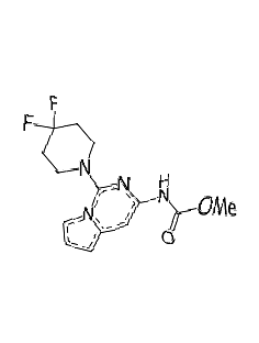 COC(=O)Nc1cc2cccn2c(N2CCC(F)(F)CC2)n1